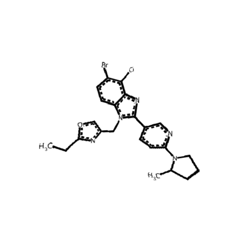 CCc1nc(Cn2c(-c3ccc(N4CCCC4C)nc3)nc3c(Cl)c(Br)ccc32)co1